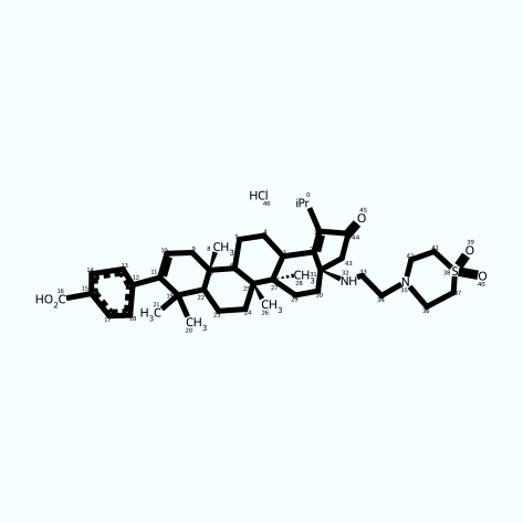 CC(C)C1=C2C3CCC4[C@@]5(C)CC=C(c6ccc(C(=O)O)cc6)C(C)(C)C5CC[C@@]4(C)[C@]3(C)CC[C@@]2(NCCN2CCS(=O)(=O)CC2)CC1=O.Cl